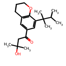 CC(C)C(C)(C)c1cc(C(=O)CC(C)(C)O)cc2c1OCCC2